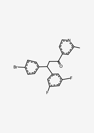 Cc1cc(C(=O)CC(c2ccc(Br)cc2)c2cc(F)cc(F)c2)ccn1